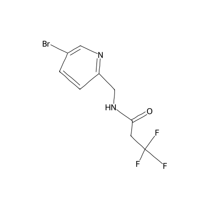 O=C(CC(F)(F)F)NCc1ccc(Br)cn1